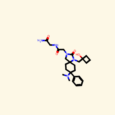 CN(C)C1(c2ccccc2)CCC2(CC1)CN(CC(=O)NCC(N)=O)C(=O)N2CC1(O)CCC1